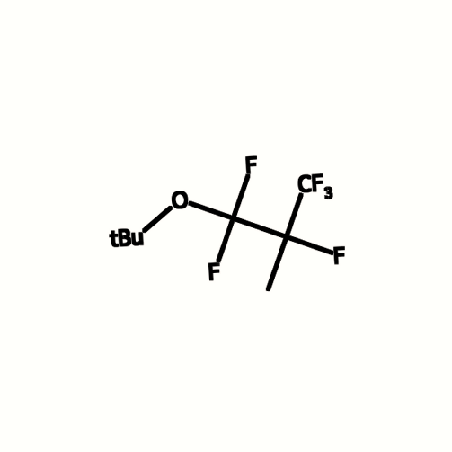 CC(C)(C)OC(F)(F)C(C)(F)C(F)(F)F